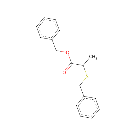 CC(SCc1ccccc1)C(=O)OCc1ccccc1